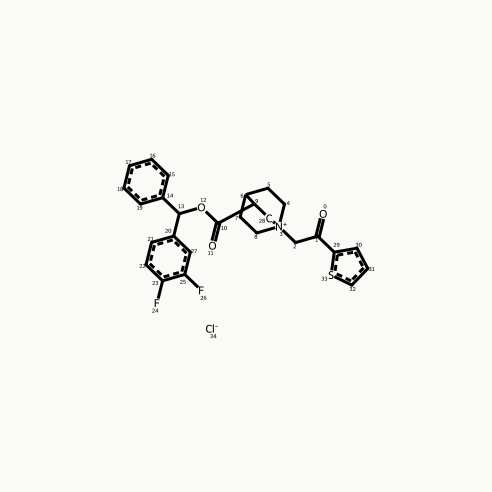 O=C(C[N+]12CCC(CC1)C(C(=O)OC(c1ccccc1)c1ccc(F)c(F)c1)C2)c1cccs1.[Cl-]